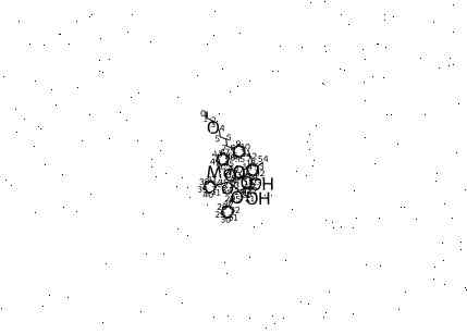 C=CCOCCCCc1ccc(Cc2cc([C@]3(OC)OC(CO)(CO)C(OCc4ccccc4)[C@H](OCc4ccccc4)[C@H]3OCc3ccccc3)ccc2C)cc1